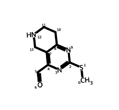 CSc1nc(C=O)c2c(n1)CCNC2